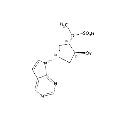 CN([C@H]1C[C@@H](n2ccc3cncnc32)C[C@@H]1O)S(=O)(=O)O